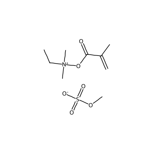 C=C(C)C(=O)O[N+](C)(C)CC.COS(=O)(=O)[O-]